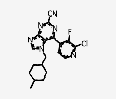 CC1CCC(Cn2cnc3nc(C#N)nc(-c4ccnc(Cl)c4F)c32)CC1